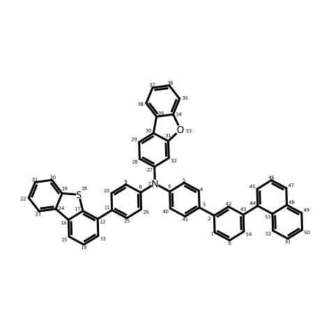 c1cc(-c2ccc(N(c3ccc(-c4cccc5c4sc4ccccc45)cc3)c3ccc4c(c3)oc3ccccc34)cc2)cc(-c2cccc3ccccc23)c1